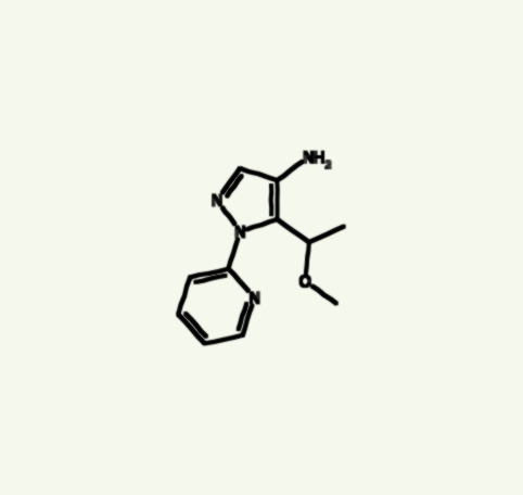 COC(C)c1c(N)cnn1-c1ccccn1